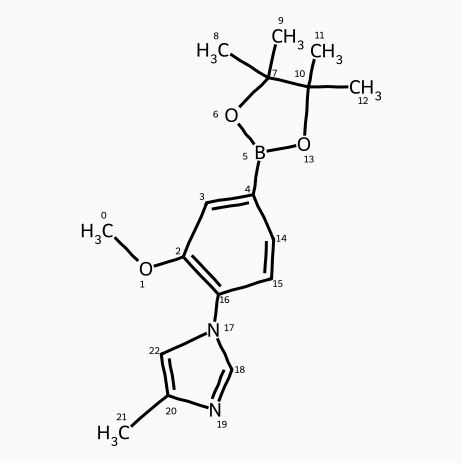 COc1cc(B2OC(C)(C)C(C)(C)O2)ccc1-n1cnc(C)c1